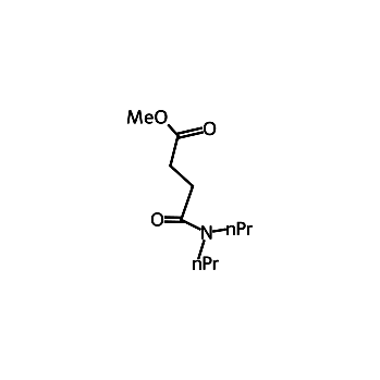 CCCN(CCC)C(=O)CCC(=O)OC